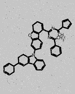 C=C(/N=C(\N=C(/C)c1ccccc1)C1=CCCc2oc3cc(-n4c5c(c6ccccc64)C=C(C4C=CC=CC4)CC5)ccc3c21)C1C=CC=C1